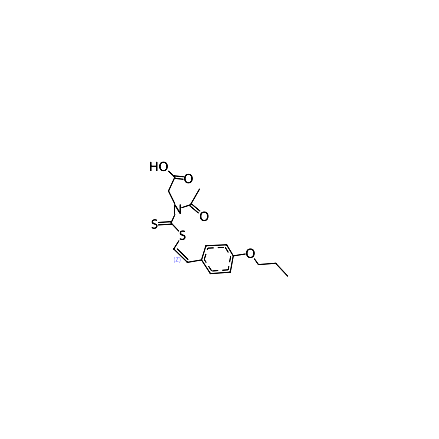 CCCOc1ccc(/C=C\SC(=S)N(CC(=O)O)C(C)=O)cc1